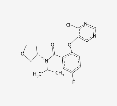 CC(C)N(C(=O)c1cc(F)ccc1Oc1cncnc1Cl)[C@H]1CCOC1